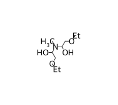 CCOCC(O)N(C)C(O)COCC